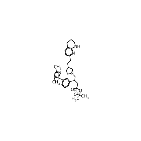 Cc1cc(C)n(-c2cccc(C(CC(=O)OC(C)(C)C)CN3CC[C@@H](CCc4ccc5c(n4)NCCC5)C3)c2)n1